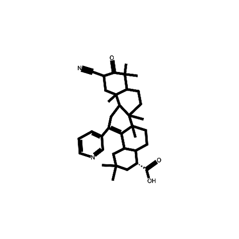 CC1(C)CC2C3=C(c4cccnc4)CC4C5(C)CC(C#N)C(=O)C(C)(C)C5CCC4(C)C3(C)CCC2[C@H](C(=O)O)C1